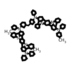 Cc1ccc(N(c2ccccc2)c2ccc3c4cc5c(cc4n4c6ccccc6c2c34)c2ccc(N(c3ccccc3)c3ccc(Cc4cccc(N(c6cccc(C)c6)c6ccc7c8cc9c(cc8n8c%10ccccc%10c6c78)c6ccc(N(c7ccccc7)c7cccc(C)c7)c7c8ccccc8n9c67)c4)cc3)c3c4ccccc4n5c23)cc1